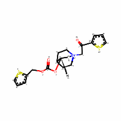 O=C(OCc1cccs1)O[C@H]1C[N+]2(CC(=O)c3cccs3)CCC1CC2